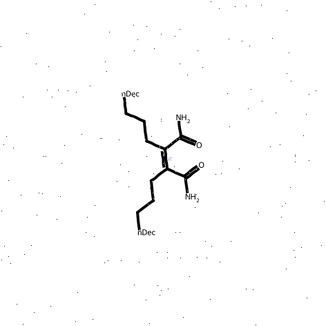 CCCCCCCCCCCCC/C(C(N)=O)=C(\CCCCCCCCCCCCC)C(N)=O